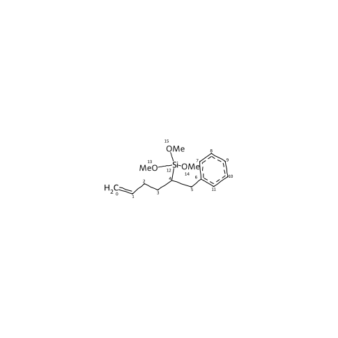 C=CCCC(Cc1ccccc1)[Si](OC)(OC)OC